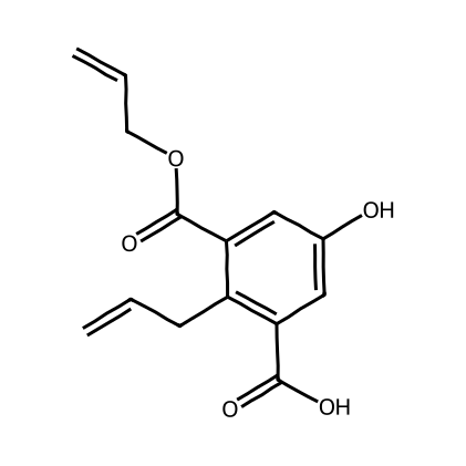 C=CCOC(=O)c1cc(O)cc(C(=O)O)c1CC=C